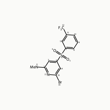 CNc1cc(S(=O)(=O)c2cccc(C(F)(F)F)c2)cc(Br)n1